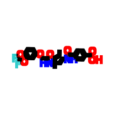 CCCC(C)(CCNC(=O)c1ccc(C(=O)O)cc1)NC(=O)COc1ccc2c(c1)OC(F)(F)O2